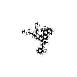 CCCCN(CCCC)Cc1nc(NCCc2ccccc2Cl)c2ccc(-c3ncccc3C(F)(F)F)cc2n1